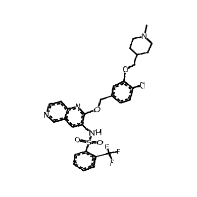 CN1CCC(COc2cc(COc3nc4ccncc4cc3NS(=O)(=O)c3ccccc3C(F)(F)F)ccc2Cl)CC1